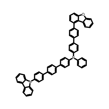 c1ccc(N(c2ccc(-c3ccc(-c4ccc(-n5c6ccccc6c6ccccc65)cc4)cc3)cc2)c2ccc(-c3ccc(-c4cccc5oc6ccccc6c45)cc3)cc2)cc1